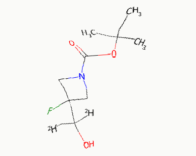 [2H]C([2H])(O)C1(F)CN(C(=O)OC(C)(C)C)C1